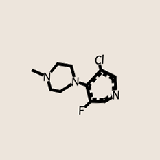 CN1CCN(c2c(F)cncc2Cl)CC1